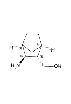 N[C@H]1[C@H]2CC[C@H](C2)[C@@H]1CO